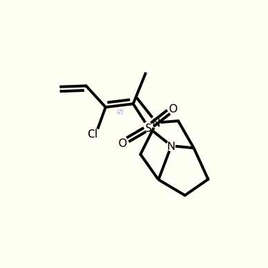 C=C/C(Cl)=C(\C)S(=O)(=O)N1C2CCC1CN(C)C2